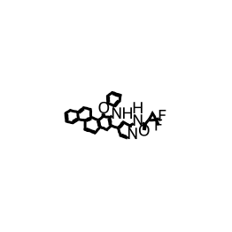 O=C1C(Nc2ccccc2)=C(c2ccnc(NC(=O)C3CC3(F)F)c2)Cc2ccc3c(c21)CC=C1CC=CC=C13